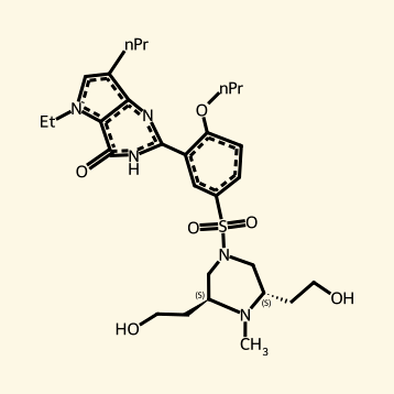 CCCOc1ccc(S(=O)(=O)N2C[C@H](CCO)N(C)[C@@H](CCO)C2)cc1-c1nc2c(CCC)cn(CC)c2c(=O)[nH]1